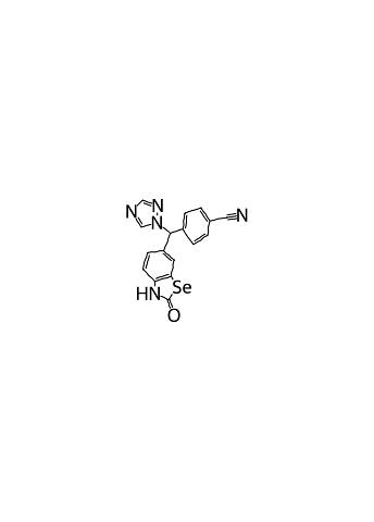 N#Cc1ccc(C(c2ccc3[nH]c(=O)[se]c3c2)n2cncn2)cc1